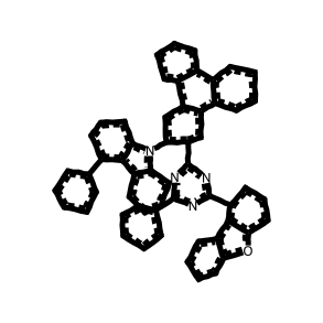 c1ccc(-c2nc(-c3cc4c5ccccc5c5ccccc5c4cc3-n3c4ccccc4c4c(-c5ccccc5)cccc43)nc(-c3cccc4oc5ccccc5c34)n2)cc1